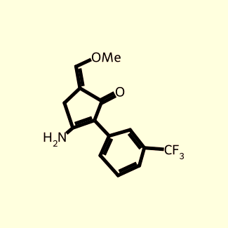 COC=C1CC(N)=C(c2cccc(C(F)(F)F)c2)C1=O